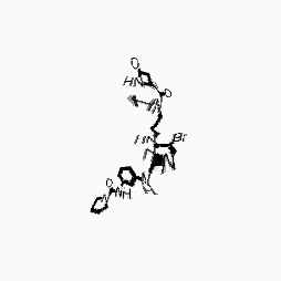 O=C1C[C@@H](C(=O)NCCCNc2nc(Nc3cccc(NC(=O)N4CCCC4)c3)ncc2Br)N1